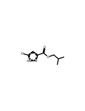 CC(C)COC(=O)c1cc([O])[nH]n1